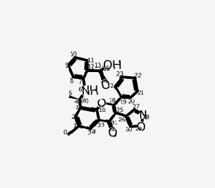 Cc1cc([C@@H](C)Nc2ccccc2C(=O)O)c2oc(-c3ccccc3)c(-c3cnoc3)c(=O)c2c1